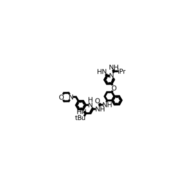 CC(C)C(=N)n1cc(OC2CCC(NC(=O)N/C(=C/C(=N)C(C)(C)C)Nc3cccc(CN4CCOCC4)c3)c3ccccc32)ccc1=N